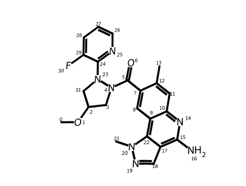 COC1CN(C(=O)c2cc3c(cc2C)nc(N)c2cnn(C)c23)N(c2ncccc2F)C1